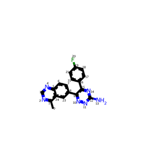 Cc1ncnc2ccc(-c3nnc(N)nc3-c3ccc(F)cc3)cc12